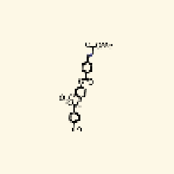 CCCc1ccc(C(=O)Oc2ccc(OC(=O)c3ccc(/C=C/C(=O)OC)cc3)cc2C(=O)O)cc1